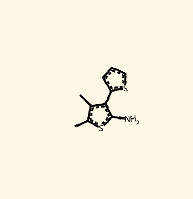 Cc1sc(N)c(-c2[c]ccs2)c1C